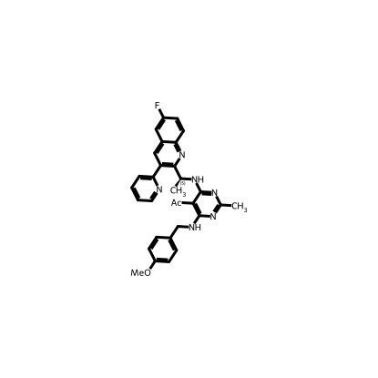 COc1ccc(CNc2nc(C)nc(N[C@@H](C)c3nc4ccc(F)cc4cc3-c3ccccn3)c2C(C)=O)cc1